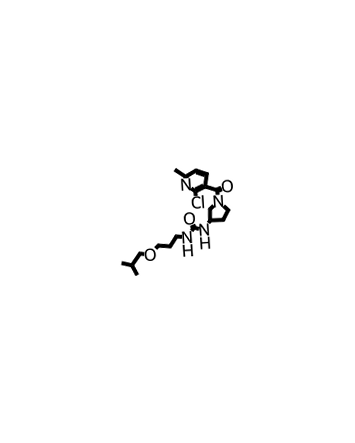 Cc1ccc(C(=O)N2CCC(NC(=O)NCCCOCC(C)C)C2)c(Cl)n1